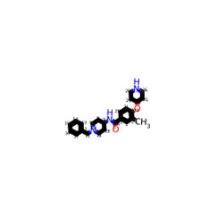 Cc1cc(C(=O)NC2CCN(Cc3ccccc3)CC2)ccc1OC1CCNCC1